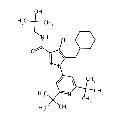 CC(C)(O)CNC(=O)c1nn(-c2cc(C(C)(C)C)nc(C(C)(C)C)c2)c(CC2CCCCC2)c1Cl